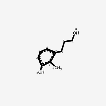 Cc1c(O)cccc1CCCO